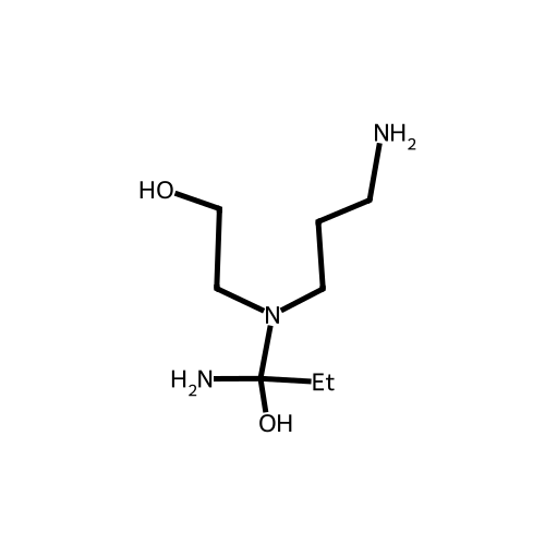 CCC(N)(O)N(CCO)CCCN